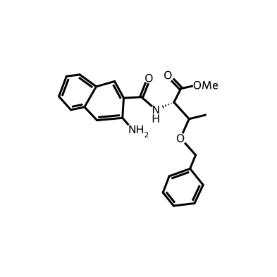 COC(=O)[C@@H](NC(=O)c1cc2ccccc2cc1N)C(C)OCc1ccccc1